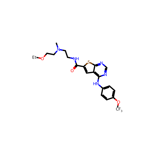 CCOCCN(C)CCNC(=O)c1cc2c(Nc3ccc(OC(F)(F)F)cc3)ncnc2s1